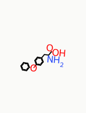 NC(Cc1ccc(Oc2ccccc2)cc1)C(=O)O